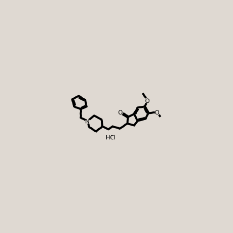 COc1cc2c(cc1OC)C(=O)C(CCCC1CCN(Cc3ccccc3)CC1)C2.Cl